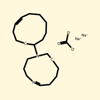 C1=CCCCC(N2CCCCCC=NCCC2)CCCCC1.O=C([O-])[O-].[Na+].[Na+]